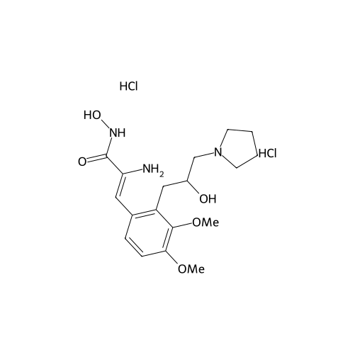 COc1ccc(C=C(N)C(=O)NO)c(CC(O)CN2CCCC2)c1OC.Cl.Cl